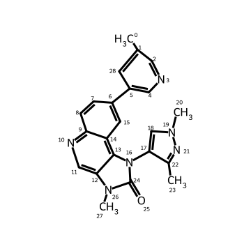 Cc1cncc(-c2ccc3ncc4c(c3c2)n(-c2cn(C)nc2C)c(=O)n4C)c1